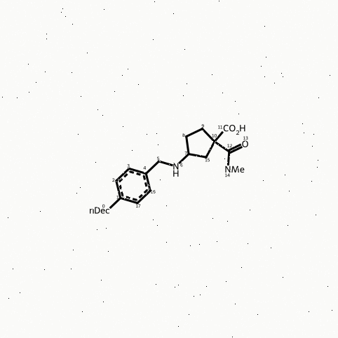 CCCCCCCCCCc1ccc(CNC2CCC(C(=O)O)(C(=O)NC)C2)cc1